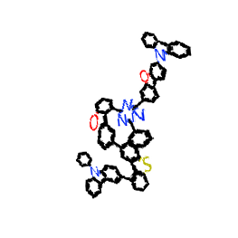 c1ccc(-c2nc(-c3ccc4c(c3)oc3cc(-n5c6ccccc6c6ccccc65)ccc34)nc(-c3cccc4oc5ccc(-c6ccc7sc8cccc(-c9ccc%10c(c9)c9ccccc9n%10-c9ccccc9)c8c7c6)cc5c34)n2)cc1